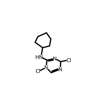 ClC1N=CN(Cl)C(NC2CCCCC2)=N1